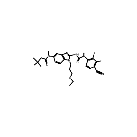 CCOCCCn1c(NC(=O)Nc2ccc(C#N)c(F)c2F)nc2cc(N(C)C(=O)CC(C)(C)C)ccc21